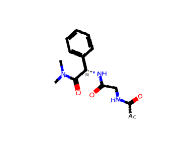 CC(=O)C(=O)NCC(=O)N[C@H](C(=O)N(C)C)c1ccccc1